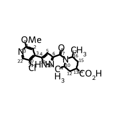 COc1cc(-c2cc(C(=O)N3C(C)CC(C(=O)O)CC3C)n[nH]2)c(Cl)cn1